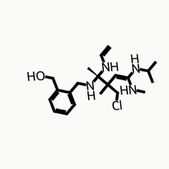 C=CN[C@@](C)(NCc1ccccc1CO)C(C)(/C=C(\NC)NC(C)C)CCl